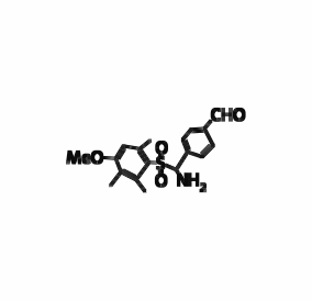 COc1cc(C)c(S(=O)(=O)C(N)c2ccc(C=O)cc2)c(C)c1C